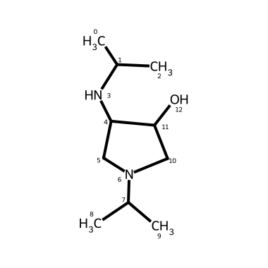 CC(C)NC1CN(C(C)C)CC1O